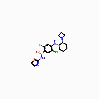 [O-][S+](Nc1nccs1)c1cc(Cl)c(N[C@H]2CCCC[C@@H]2N2CCC2)cc1F